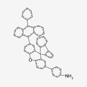 Nc1ccc(-c2ccc3c(c2)C2(c4cc(-c5c6ccccc6c(-c6ccccc6)c6ccccc56)ccc4O3)c3ccccc3-c3ccccc32)cc1